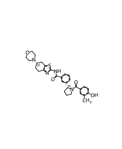 Cc1cc(C(=O)N2CCC[C@@H]2c2cccc(C(=O)Nc3nc4c(s3)C[C@@H](N3CCOCC3)CC4)c2)ccc1O